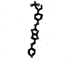 CCN(CS(C)(=O)=O)c1ccc(N=Nc2nc3sc(/C=N/c4ccncc4)cc3s2)cc1